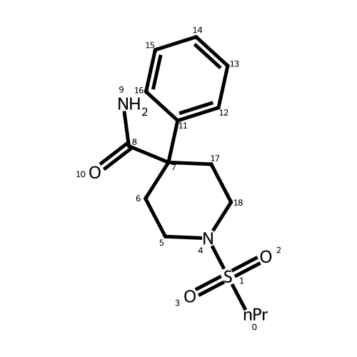 CCCS(=O)(=O)N1CCC(C(N)=O)(c2ccccc2)CC1